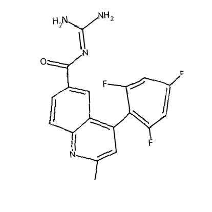 Cc1cc(-c2c(F)cc(F)cc2F)c2cc(C(=O)N=C(N)N)ccc2n1